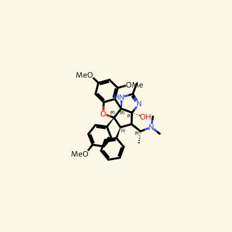 COc1ccc([C@@]23Oc4cc(OC)cc(OC)c4[C@@]24NC(C)=N[C@@]4(O)C([C@@H](C)N(C)C)[C@H]3c2ccccc2)cc1